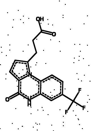 O=C(O)CCc1ccc2c(=O)[nH]c3cc(C(F)(F)F)ccc3n12